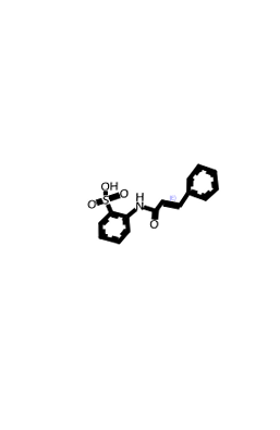 O=C(/C=C/c1ccccc1)Nc1ccccc1S(=O)(=O)O